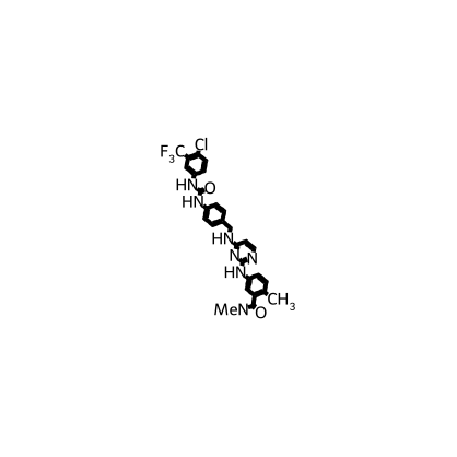 CNC(=O)c1cc(Nc2nccc(NCc3ccc(NC(=O)Nc4ccc(Cl)c(C(F)(F)F)c4)cc3)n2)ccc1C